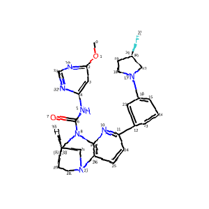 COc1cc(NC(=O)N2c3nc(-c4cccc(N5CC[C@@H](F)C5)c4)ccc3N3CC[C@H]2C3)ncn1